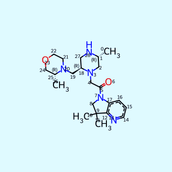 C[C@@H]1CN(CC(=O)N2CC(C)(C)c3ncccc32)[C@@H](CN2CCOC[C@H]2C)CN1